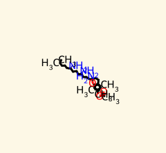 CC(=O)Oc1c(C)c(C)c2c(c1C)CC[C@@](N)(CCC[C@H](N)CCC[C@H](N)CCCC(C)C)O2